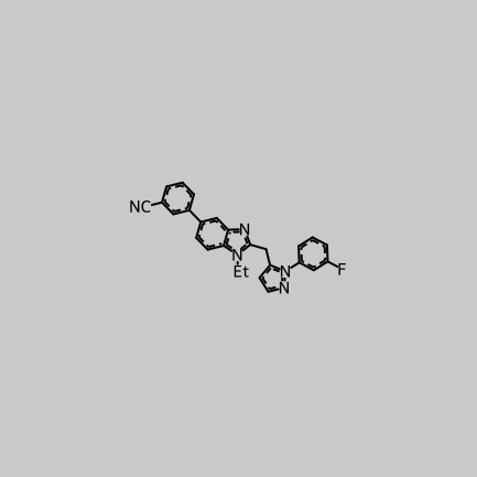 CCn1c(Cc2ccnn2-c2cccc(F)c2)nc2cc(-c3cccc(C#N)c3)ccc21